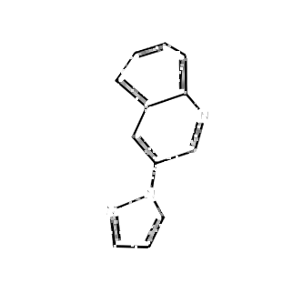 [c]1ccn(-c2cnc3ccccc3c2)n1